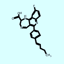 CCC/C=C/c1ccc(-c2nc3ccc(F)cc3c3c2C=NCC(C(=O)O)N3)cc1